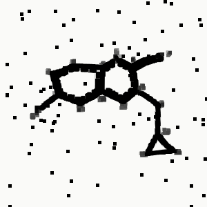 Fc1ccc2nc(=S)n(CC3CC3)cc2c1